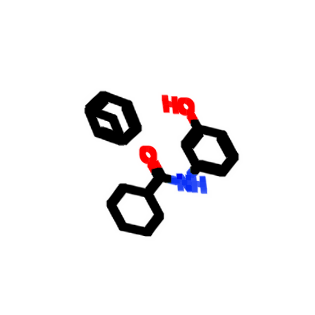 O=C(Nc1cccc(O)c1)C1CCCCC1.c1cc2cc(c1)C2